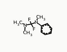 CN(C)C(F)(F)N(C)c1ccccc1